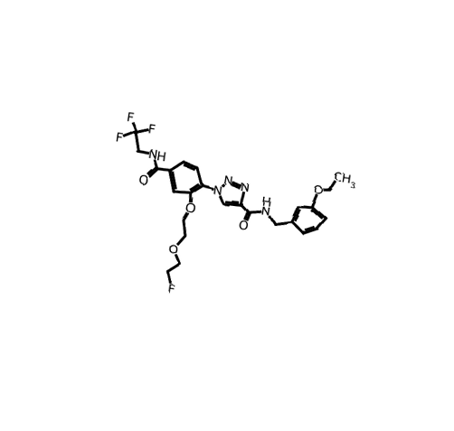 CCOc1cccc(CNC(=O)c2cn(-c3ccc(C(=O)NCC(F)(F)F)cc3OCCOCCF)nn2)c1